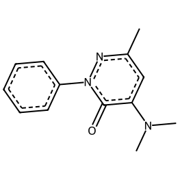 Cc1cc(N(C)C)c(=O)n(-c2ccccc2)n1